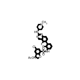 CC(=O)O[C@@H]1COc2c1cc(Cl)cc2S(=O)(=O)Nc1cccc(-c2ccc3nc(NC4CCN(C)CC4)ncc3c2F)c1F